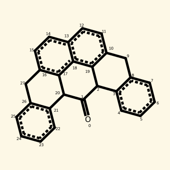 O=C1C2c3ccccc3Cc3ccc4ccc5c(c4c32)C1c1ccccc1C5